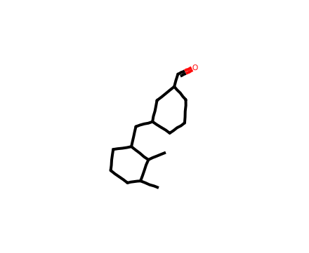 CC1CCCC(CC2CCCC(C=O)C2)C1C